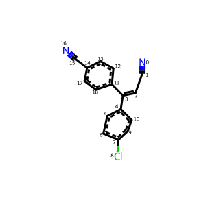 N#CC=C(c1ccc(Cl)cc1)c1ccc(C#N)cc1